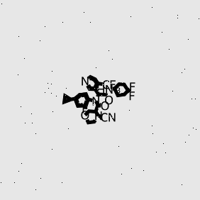 N#CN1CCOCC1C(=O)N(c1ccc(C2CC2)cc1F)C(C(=O)NC1CCC(F)(F)CC1)c1cnccc1C(F)(F)F